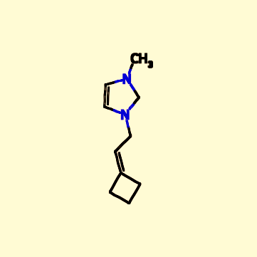 CN1C=CN(CC=C2CCC2)C1